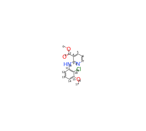 COC(=O)c1cccnc1Nc1cccc(OC)c1Cl